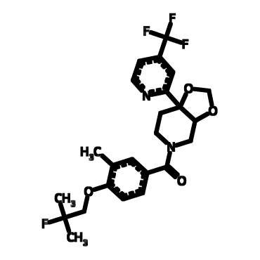 Cc1cc(C(=O)N2CCC3(c4cc(C(F)(F)F)ccn4)OCOC3C2)ccc1OCC(C)(C)F